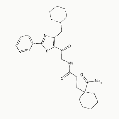 NC(=O)C1(C[CH]C(=O)NCC(=O)c2oc(-c3cccnc3)nc2CC2CCCCC2)CCCCC1